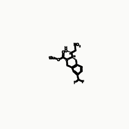 CC(C)(C)OC(=O)N1Cc2cc(C(F)F)ccc2C[C@H]1[C@H](O)C[N+](=O)[O-]